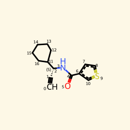 C#C[C@@H](NC(=O)c1ccsc1)C1CCCCC1